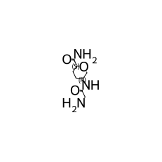 NCC(=O)N[C@@H]1CC[C@@H](C(N)=O)OC1